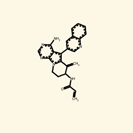 C=CC(=O)NC1CCn2c(c(-c3cnc4ccccc4c3)c3c(N)ncnc32)C1=C